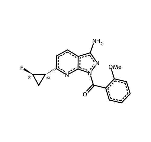 COc1ccccc1C(=O)n1nc(N)c2ccc([C@@H]3C[C@H]3F)nc21